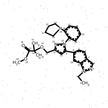 CCn1ncc2ccc(-c3cc(COC(C)(C)C(=O)OC)nn3-c3ccccc3N3CCCC3)cc21